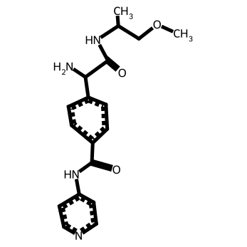 COCC(C)NC(=O)C(N)c1ccc(C(=O)Nc2ccncc2)cc1